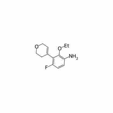 CCOc1c(N)ccc(F)c1C1=CCOCC1